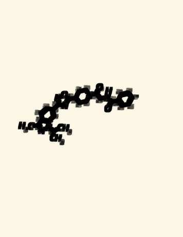 Cc1nn(C(C)C)c2cc(-c3noc(C4CCN(C(=O)CNC(=O)c5ccccc5)CC4)n3)ccc12